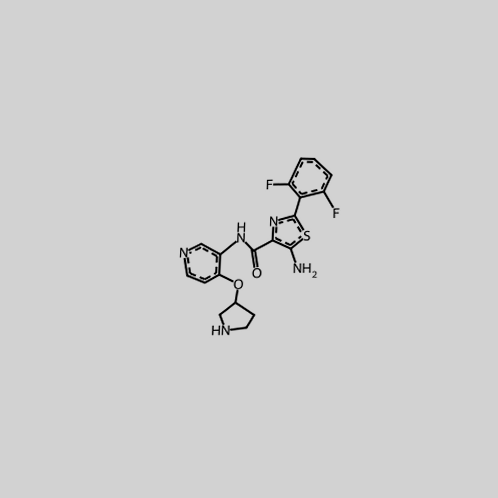 Nc1sc(-c2c(F)cccc2F)nc1C(=O)Nc1cnccc1OC1CCNC1